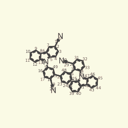 N#Cc1ccc2c(c1)c1ccccc1n2-c1ccc(C#N)c(-c2cccc(-c3c(C#N)cccc3-n3c4ccccc4c4ccccc43)c2)c1